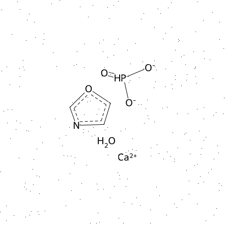 O.O=[PH]([O-])[O-].[Ca+2].c1cocn1